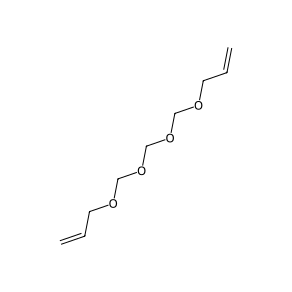 C=CCOCOCOCOCC=C